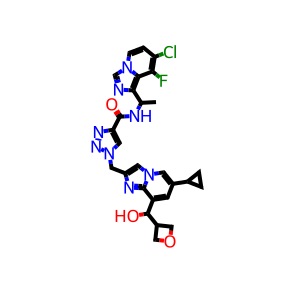 CC(NC(=O)c1cn(Cc2cn3cc(C4CC4)cc(C(O)C4COC4)c3n2)nn1)c1ncn2ccc(Cl)c(F)c12